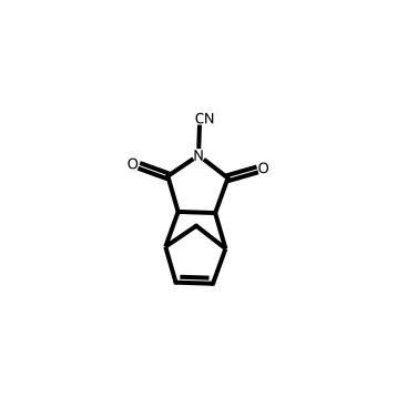 N#CN1C(=O)C2C3C=CC(C3)C2C1=O